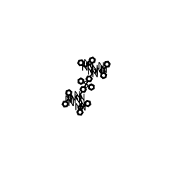 c1ccc(S(c2ccccc2)(c2ccc(-c3nc(-n4c5ccccc5n5c6ccccc6nc45)nc(-n4c5ccccc5n5c6ccccc6nc45)n3)cc2)c2ccc(-c3nc(-n4c5ccccc5n5c6ccccc6nc45)nc(-n4c5ccccc5n5c6ccccc6nc45)n3)cc2)cc1